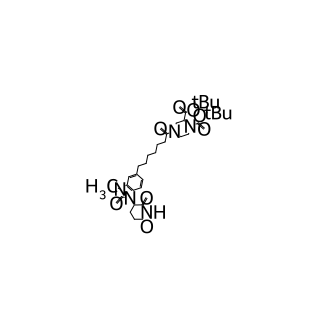 Cn1c(=O)n(C2CCC(=O)NC2=O)c2ccc(CCCCCCC(=O)N3CCN(C(=O)OC(C)(C)C)C(C(=O)OC(C)(C)C)C3)cc21